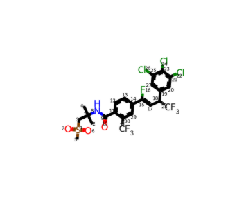 CC(C)(CS(C)(=O)=O)NC(=O)c1ccc(C(F)=CC(c2cc(Cl)c(Cl)c(Cl)c2)C(F)(F)F)cc1C(F)(F)F